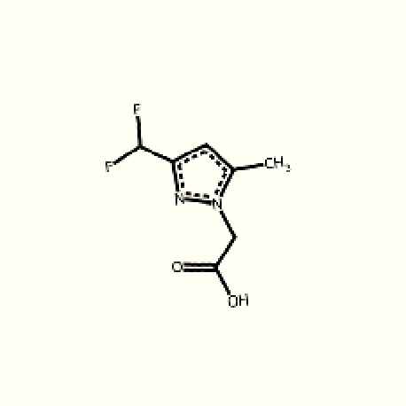 Cc1cc(C(F)F)nn1CC(=O)O